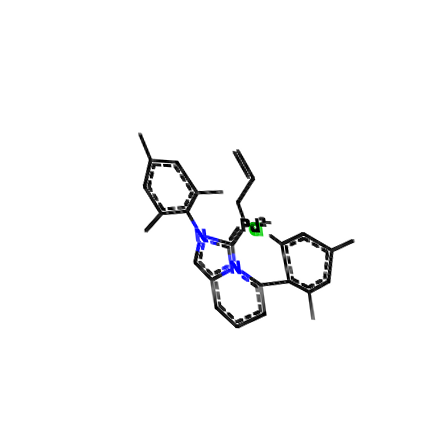 C=C[CH2][Pd-2]([Cl])=[c]1n(-c2c(C)cc(C)cc2C)cc2cccc(-c3c(C)cc(C)cc3C)n12